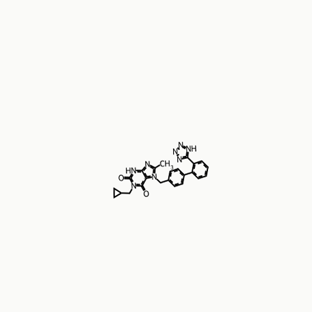 Cc1nc2[nH]c(=O)n(CC3CC3)c(=O)c2n1Cc1ccc(-c2ccccc2-c2nnn[nH]2)cc1